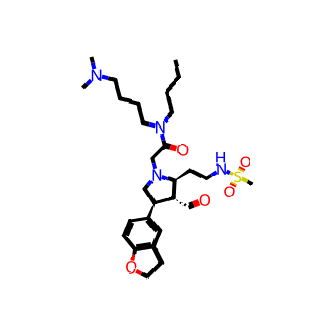 CCCCN(CCCCN(C)C)C(=O)CN1C[C@H](c2ccc3c(c2)CCO3)[C@@H](C=O)[C@@H]1CCNS(C)(=O)=O